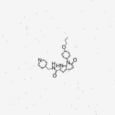 CCCOc1ccc(-n2c(=O)ccc3cc(C(=O)NCc4ccncc4)[nH]c32)cc1